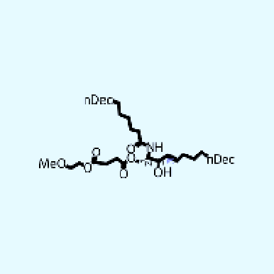 CCCCCCCCCCCCC/C=C/[C@@H](O)[C@H](COC(=O)CCC(=O)OCCOC)NC(=O)CCCCCCCCCCCCCCC